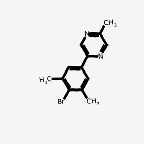 Cc1cnc(-c2cc(C)c(Br)c(C)c2)cn1